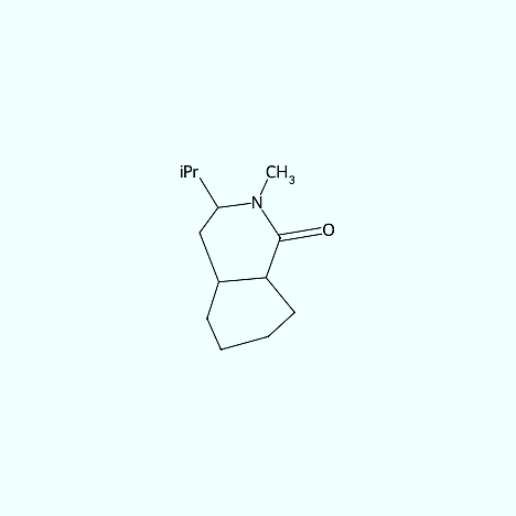 CC(C)C1CC2CCCCC2C(=O)N1C